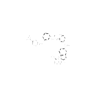 CNC(=O)n1ccc2cc(N(C)c3ccnc(NC(=O)c4cccc(CN5CC[C@H](N(C)C)C5)c4)c3)ccc21